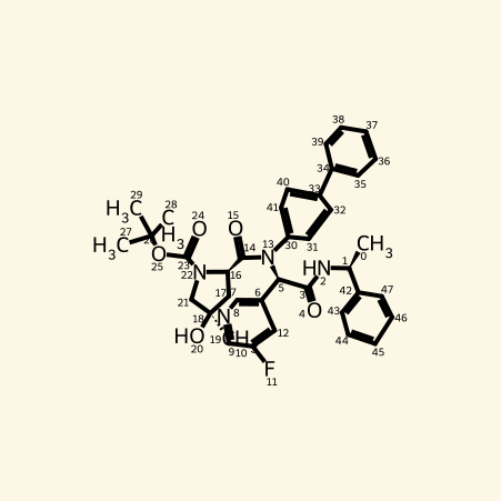 C[C@H](NC(=O)[C@@H](c1cncc(F)c1)N(C(=O)[C@H]1C[C@@](C)(O)CN1C(=O)OC(C)(C)C)c1ccc(-c2ccccc2)cc1)c1ccccc1